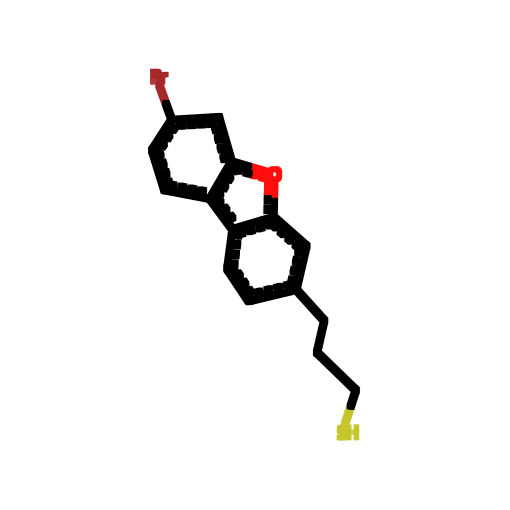 SCCCc1ccc2c(c1)oc1cc(Br)ccc12